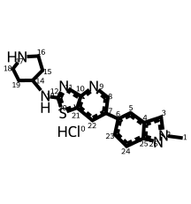 Cl.Cn1cc2cc(-c3cnc4nc(NC5CCNCC5)sc4c3)ccc2n1